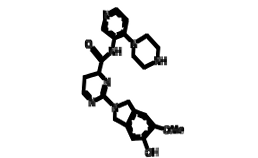 COc1cc2c(cc1O)CN(C1=NC(C(=O)Nc3cnccc3N3CCNCC3)CC=N1)C2